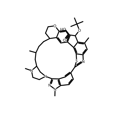 Cc1cc2nc3sc2c(c1C(OC(C)(C)C)C(=O)O)-c1ccc2c(c1)C(CCO2)CCC(C)CC1CN(CCN1C)c1nn(C)c2ccc-3cc12